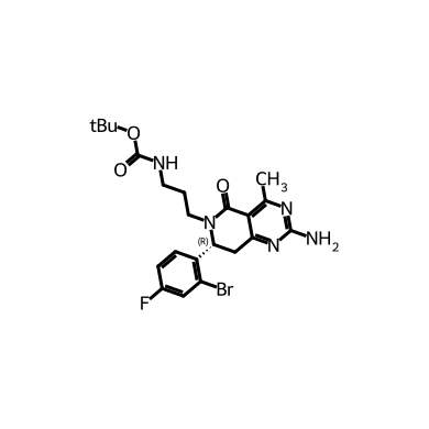 Cc1nc(N)nc2c1C(=O)N(CCCNC(=O)OC(C)(C)C)[C@@H](c1ccc(F)cc1Br)C2